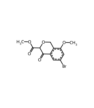 COC(=O)C1OCc2c(OC)cc(Br)cc2C1=O